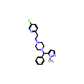 Cn1nccc1C(c1ccccc1)N1CCN(CCc2ccc(F)cn2)CC1